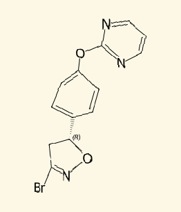 BrC1=NO[C@@H](c2ccc(Oc3ncccn3)cc2)C1